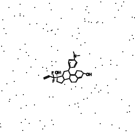 C#CC(F)(F)[C@]1(O)CCC2C3CCC4=CC(O)CCC4=C3C(c3ccc(N(C)C)cc3)C[C@@]21C